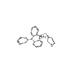 CN(CN1C=CSC1)c1ccccc1P(c1ccccc1)c1ccccc1